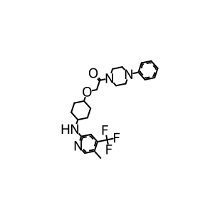 Cc1cnc(NC2CCC(OCC(=O)N3CCN(c4ccccc4)CC3)CC2)cc1C(F)(F)F